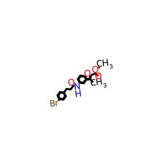 CCOC(=O)c1oc2ccc(NC(=O)CCc3ccc(Br)cc3)cc2c1C